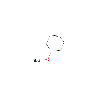 CCCCOC1CC=CCC1